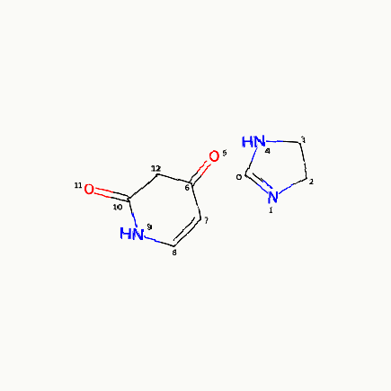 C1=NCCN1.O=C1C=CNC(=O)C1